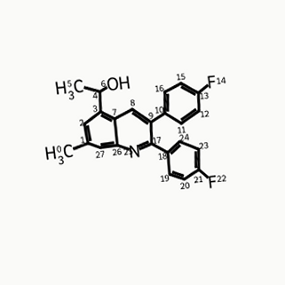 Cc1cc(C(C)O)c2cc(-c3ccc(F)cc3)c(-c3ccc(F)cc3)nc2c1